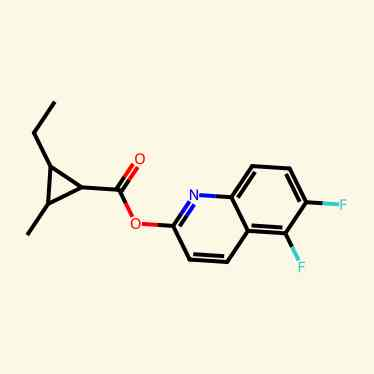 CCC1C(C)C1C(=O)Oc1ccc2c(F)c(F)ccc2n1